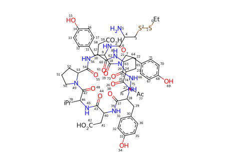 CCSSCC(N)C(=O)NC(Cc1ccc(O)cc1)C(=O)N1CCCC1C(=O)NC(Cc1ccc(O)cc1)C(=O)NC(CC(=O)O)C(=O)NC(C(=O)N1CCCC1C(=O)NC(CC(=O)O)C(=O)NC(Cc1ccc(O)cc1)C(=O)NC(C)C(C)=O)C(C)C